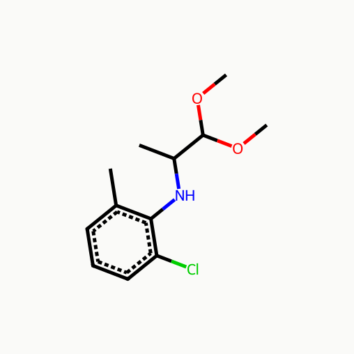 COC(OC)C(C)Nc1c(C)cccc1Cl